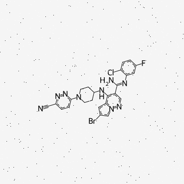 N#Cc1ccc(N2CCC(Nc3c(/C(N)=N/c4cc(F)ccc4Cl)cnn4cc(Br)cc34)CC2)nn1